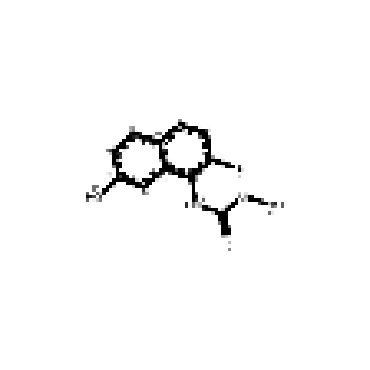 CC(C)(C)OC(=O)Nc1c(Br)ccc2ccc(O)cc12